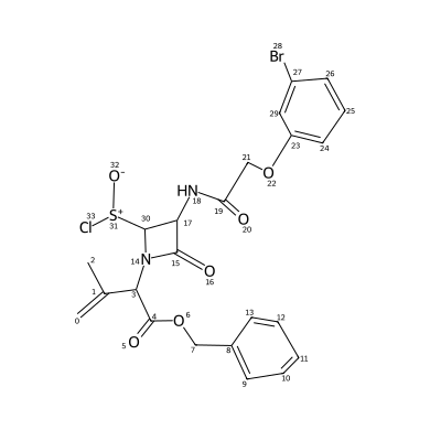 C=C(C)C(C(=O)OCc1ccccc1)N1C(=O)C(NC(=O)COc2cccc(Br)c2)C1[S+]([O-])Cl